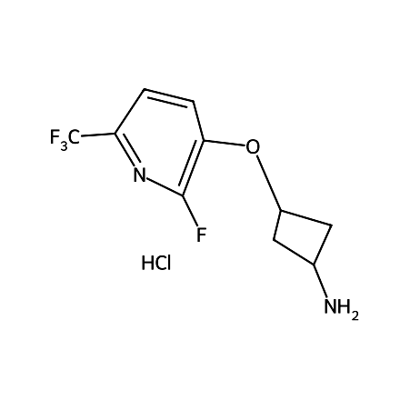 Cl.NC1CC(Oc2ccc(C(F)(F)F)nc2F)C1